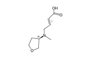 CN(C/C=C/C(=O)O)[C@@H]1CCOC1